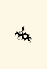 CCNC1(C(=O)CC)CCC(C)(C)CC1